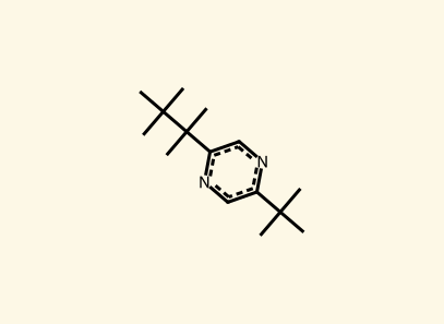 CC(C)(C)c1cnc(C(C)(C)C(C)(C)C)cn1